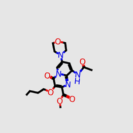 CCCCOc1c(C(=O)OC)nc2c(NC(C)=O)cc(N3CCOCC3)cn2c1=O